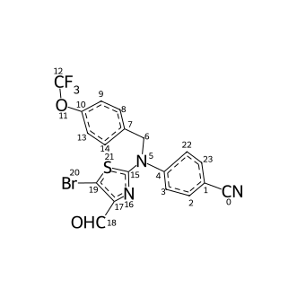 N#Cc1ccc(N(Cc2ccc(OC(F)(F)F)cc2)c2nc(C=O)c(Br)s2)cc1